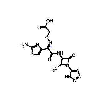 CC1C(NC(=O)/C(=N/OCC(=O)O)c2csc(N)n2)C(=O)N1c1nnn[nH]1